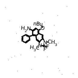 CCCCOc1cc(N)c(-c2ccccc2)c2cc3c(cc12)N(C)C(F)(F)N3C